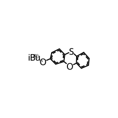 CC[C@@H](C)Oc1ccc2c(c1)Oc1ccccc1S2